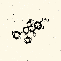 CC(C)C[C@@]1(C(=O)OC(C)(C)C)C[C@H](c2cnccn2)[C@H](c2nccs2)N1C(=O)c1ccc(C(C)(C)C)cc1